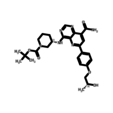 C[C@@H](O)COc1ccc(-c2cc(C(N)=O)c3ncnc(N[C@H]4CCCN(C(=O)OC(C)(C)C)C4)c3n2)cc1